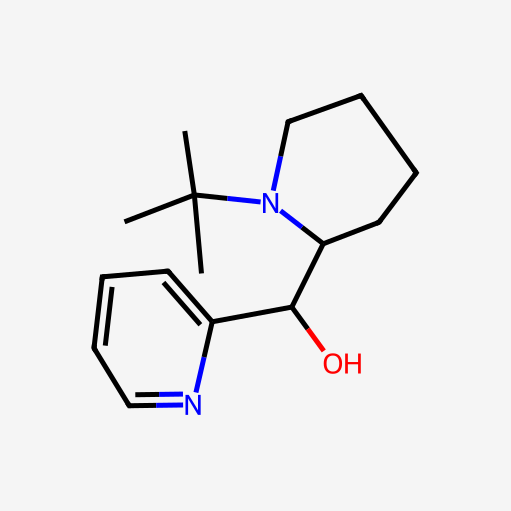 CC(C)(C)N1CCCCC1C(O)c1ccccn1